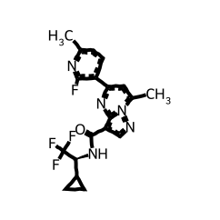 Cc1ccc(-c2cc(C)n3ncc(C(=O)N[C@@H](C4CC4)C(F)(F)F)c3n2)c(F)n1